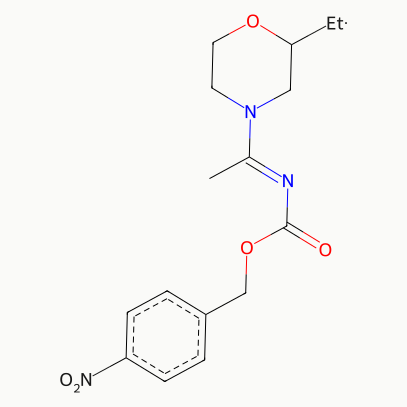 C[CH]C1CN(C(C)=NC(=O)OCc2ccc([N+](=O)[O-])cc2)CCO1